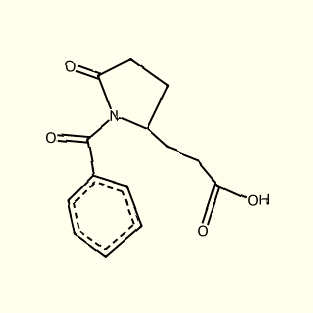 O=C(O)CCC1CCC(=O)N1C(=O)c1ccccc1